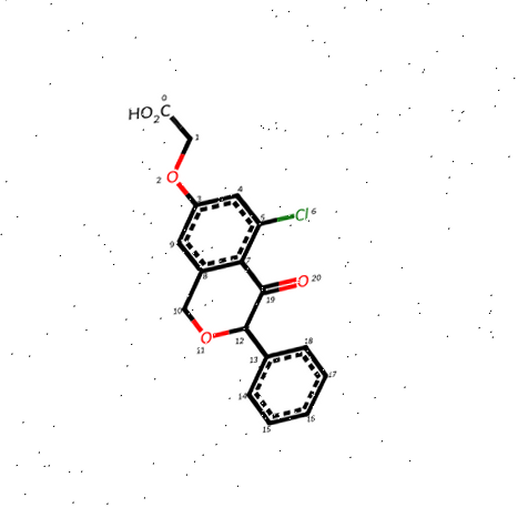 O=C(O)COc1cc(Cl)c2c(c1)COC(c1ccccc1)C2=O